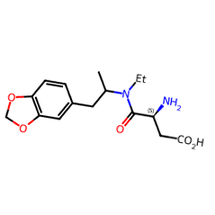 CCN(C(=O)[C@@H](N)CC(=O)O)C(C)Cc1ccc2c(c1)OCO2